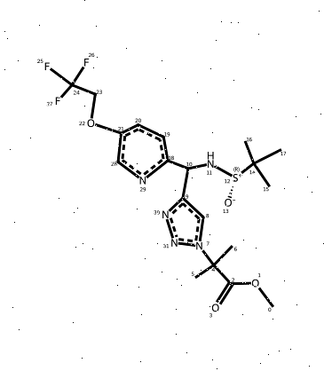 COC(=O)C(C)(C)n1cc(C(N[S@@+]([O-])C(C)(C)C)c2ccc(OCC(F)(F)F)cn2)nn1